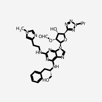 CC(C)n1nnc([C@H]2O[C@@H](n3cnc4c(N[C@H](CO)Cc5ccccc5)nc(NCCc5cn(C)cn5)nc43)[C@H](OC=O)[C@@H]2O)n1